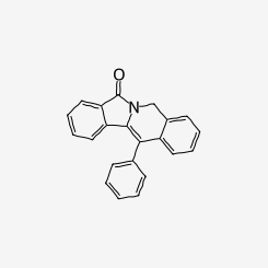 O=C1c2ccccc2C2=C(c3ccccc3)c3ccccc3CN12